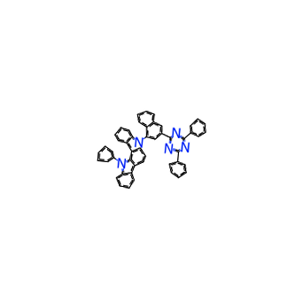 c1ccc(-c2nc(-c3ccccc3)nc(-c3cc(-n4c5ccccc5c5c4ccc4c6ccccc6n(-c6ccccc6)c45)c4ccccc4c3)n2)cc1